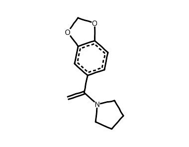 C=C(c1ccc2c(c1)OCO2)N1CCCC1